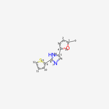 Cc1ccc(-c2cnc(-c3cccs3)[nH]2)o1